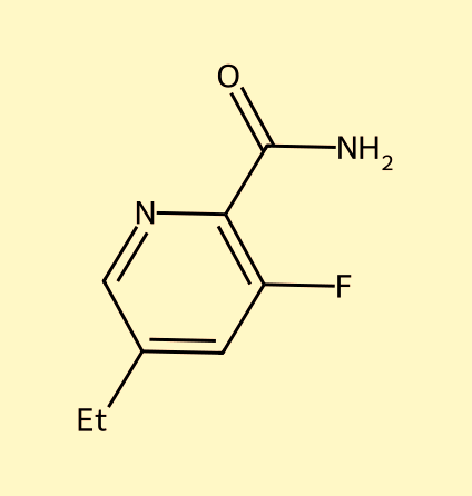 CCc1cnc(C(N)=O)c(F)c1